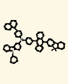 CC1(C)c2ccccc2-c2ccc(-c3c4ccccc4c(-c4ccc(N(c5ccc(-c6cccc7ccccc67)cc5)c5ccc6c(c5)c5ccccc5n6-c5ccccc5)cc4)c4ccccc34)cc21